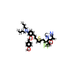 [C-]#[N+]C1=C(/C=C/c2ccc(/C=C/c3ccc(N(CCCC)CCCC)cc3OCc3ccc(OC)cc3)s2)C(C)(C(F)(F)F)O/C1=C(\C)C#N